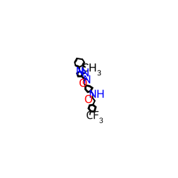 CC1=CCC=CC=C1n1ccc2c(Oc3ccc(NC(=O)Cc4ccc(C(F)(F)F)cc4)cc3)ncnc21